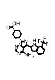 Nc1ncnn2c1c(C1Cc3cccc(C(F)(F)F)c3N1)nc2[C@H]1CC[C@H](C(=O)O)CC1